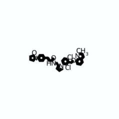 Cc1ccc2cccc(OCc3c(Cl)ccc(-n4cccc4CNC(=O)C=Cc4ccc(N5CCCC5=O)cc4)c3Cl)c2n1